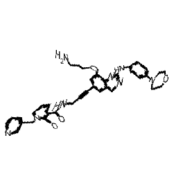 NCCCOc1cc(C#CCNC(=O)c2cccn(Cc3cccnc3)c2=O)cc2cnc(Nc3ccc(N4CCOCC4)cc3)nc12